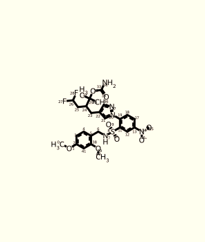 COc1ccc(CNS(=O)(=O)c2cc([N+](=O)[O-])ccc2-n2cc(CC(CC(F)F)C(C)(C)OC(N)=O)cn2)c(OC)c1